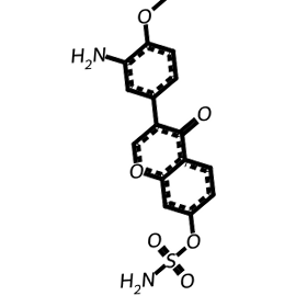 COc1ccc(-c2coc3cc(OS(N)(=O)=O)ccc3c2=O)cc1N